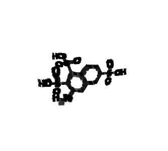 Nc1cc2cc(S(=O)(=O)O)ccc2c(S(=O)(=O)O)c1S(=O)(=O)O